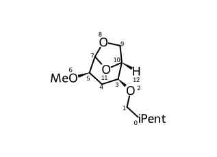 CCCC(C)CO[C@H]1C[C@@H](OC)C2OC[C@H]1O2